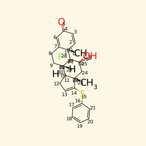 C[C@]12C=CC(=O)C=C1CC[C@H]1[C@@H]3CC=C(Sc4ccccc4)[C@@]3(C)C[C@H](O)[C@@]12F